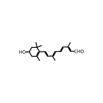 CC(C=CC=C(C)C=CC1=C(C)CC(O)CC1(C)C)=CC=O